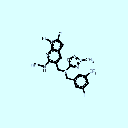 CCCNc1nc2c(cc1CN(Cc1cc(F)cc(C(F)(F)F)c1)c1nnn(C)n1)cc(CC)n2CC